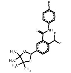 CC1(C)OB(c2ccc(C(F)F)c(C(=O)Nc3ccc(F)cc3)c2)OC1(C)C